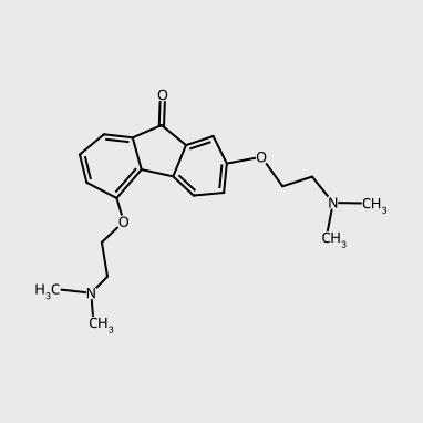 CN(C)CCOc1ccc2c(c1)C(=O)c1cccc(OCCN(C)C)c1-2